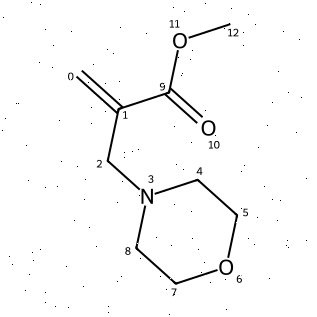 C=C(CN1CCOCC1)C(=O)OC